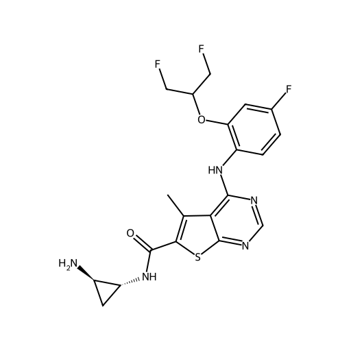 Cc1c(C(=O)N[C@@H]2C[C@H]2N)sc2ncnc(Nc3ccc(F)cc3OC(CF)CF)c12